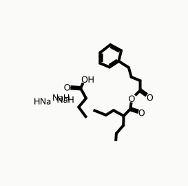 CCCC(=O)O.CCCC(CCC)C(=O)OC(=O)CCCc1ccccc1.[NaH].[NaH].[NaH]